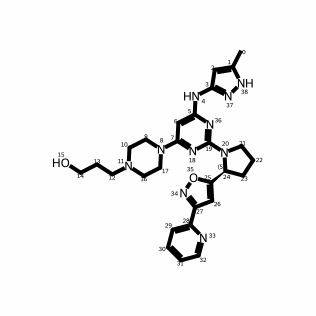 Cc1cc(Nc2cc(N3CCN(CCCO)CC3)nc(N3CCC[C@H]3c3cc(-c4ccccn4)no3)n2)n[nH]1